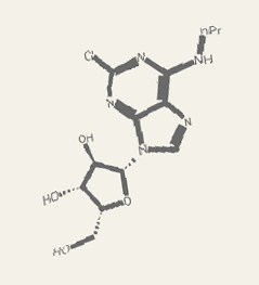 CCCNc1nc(Cl)nc2c1ncn2[C@@H]1O[C@H](CO)[C@H](O)[C@H]1O